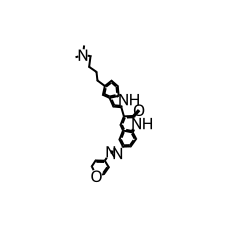 CN(C)CCCCc1ccc2[nH]c(-c3cc4cc(N=NC5=CCOC=C5)ccc4[nH]c3=O)cc2c1